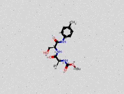 [CH2]c1ccc(NC(=O)[C@H](CO)NC(=O)[C@@H](NC(=O)OC(C)(C)C)C(C)C)cc1